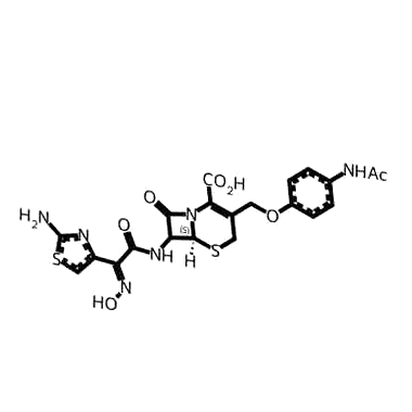 CC(=O)Nc1ccc(OCC2=C(C(=O)O)N3C(=O)C(NC(=O)C(=NO)c4csc(N)n4)[C@@H]3SC2)cc1